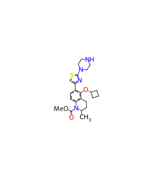 COC(=O)N1c2ccc(-c3csc(N4CCNCC4)n3)c(OC3CCC3)c2CCC1C